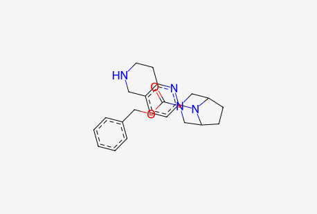 O=C(OCc1ccccc1)N1CC2CCC(C1)N2c1ccc2c(n1)CCNC2